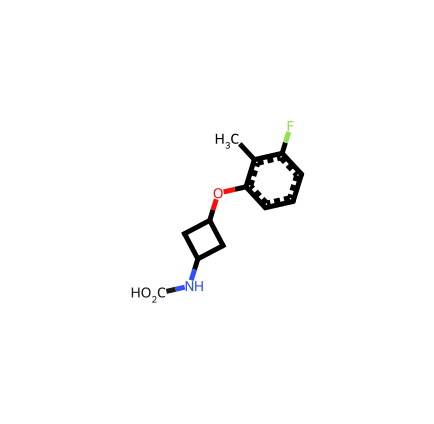 Cc1c(F)cccc1OC1CC(NC(=O)O)C1